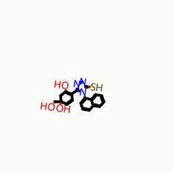 OCC1(O)C=CC(c2nnc(S)n2-c2cccc3ccccc23)=C(O)C1